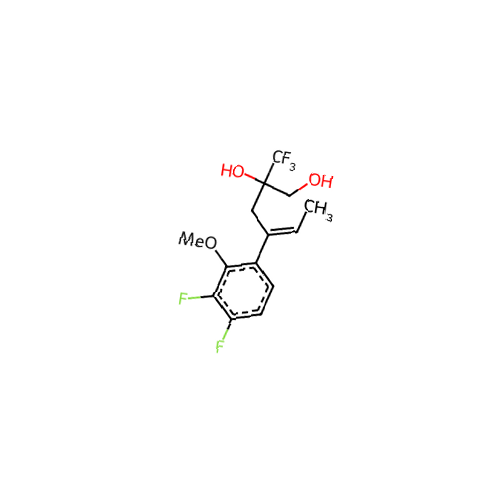 C/C=C(\CC(O)(CO)C(F)(F)F)c1ccc(F)c(F)c1OC